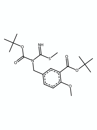 COc1ccc(CN(C(=N)SC)C(=O)OC(C)(C)C)cc1C(=O)OC(C)(C)C